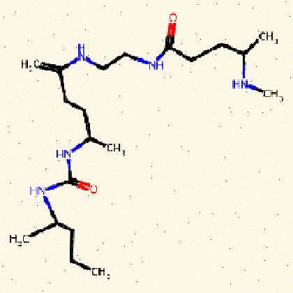 C=C(CCC(C)NC(=O)NC(C)CCC)NCCNC(=O)CCC(C)NC